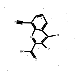 N#Cc1cccc2c(O)c(Br)c(C(=O)O)nc12